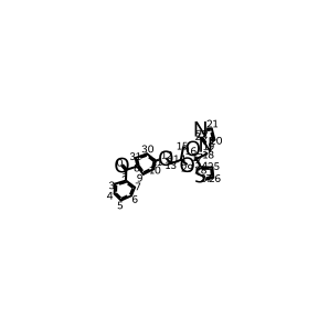 O=C(c1ccccc1)c1ccc(OCC2COC(Cn3ccnc3)(c3cccs3)O2)cc1